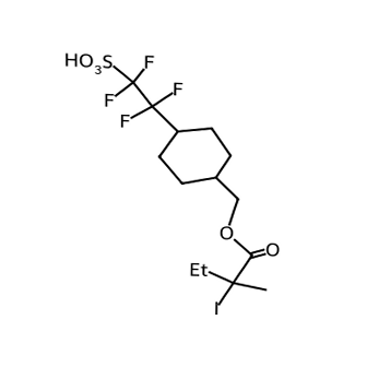 CCC(C)(I)C(=O)OCC1CCC(C(F)(F)C(F)(F)S(=O)(=O)O)CC1